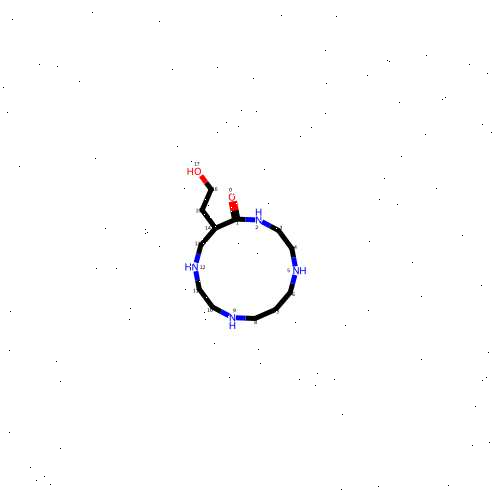 O=C1NCCNCCCNCCNCC1CCO